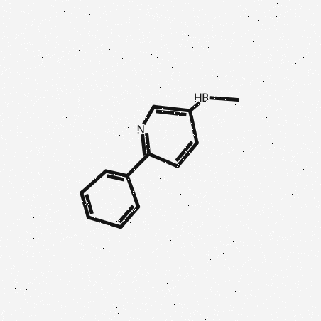 CBc1ccc(-c2ccccc2)nc1